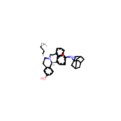 CCCC[C@H]1Cc2cc(O)ccc2[C@H](c2ccc(NC34CC5CC(CC(C5)C3)C4)cc2)N1Cc1ccccc1